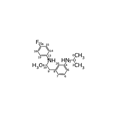 CC(C)Nc1cccc(CC(C)Nc2ccc(F)cc2)c1